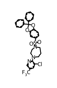 O=S(=O)(c1ccc2c(c1)OC(c1ccccc1)(c1ccccc1)O2)N1CCCN(c2ncc(C(F)(F)F)cc2Cl)CC1